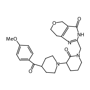 COc1ccc(C(=O)C2CCN(C3CCCN(Cc4nc5c(c(=O)[nH]4)COCC5)C3=O)CC2)cc1